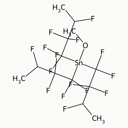 C[O][Sn]([C](F)(F)C(F)(F)C(C)F)([C](F)(F)C(F)(F)C(C)F)[C](F)(F)C(F)(F)C(C)F